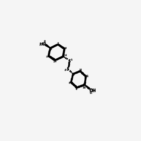 O[C@H]1CC[C@H](SS[C@H]2CC[C@H](O)CC2)CC1